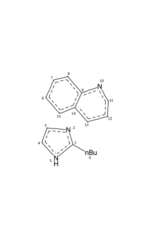 CCCCc1ncc[nH]1.c1ccc2ncccc2c1